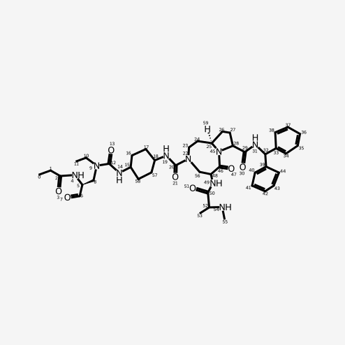 CCC(=O)N[C@H](C=O)CN(CC)C(=O)NC1CCC(NC(=O)N2CC[C@H]3CCC(C(=O)NC(c4ccccc4)c4ccccc4)N3C(=O)C(NC(=O)C(C)NC)C2)CC1